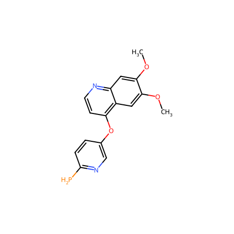 COc1cc2nccc(Oc3ccc(P)nc3)c2cc1OC